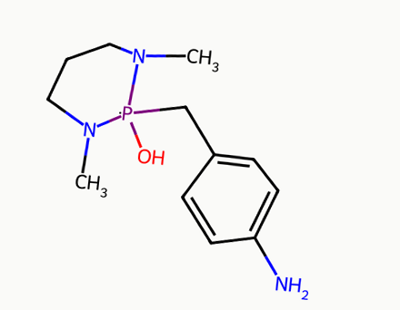 CN1CCCN(C)[P]1(O)Cc1ccc(N)cc1